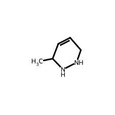 CC1C=CCNN1